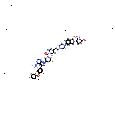 Nc1ncnc2c1c(-c1ccc(Oc3ccccc3)cc1)nn2C1CCCN(C(=O)N2CCC(CCN3CCN(c4ccc5c(c4)CN(C4CCC(=O)NC4=O)C5=O)CC3)CC2)C1